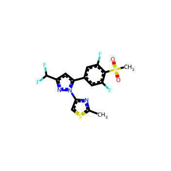 Cc1nc(-n2nc(C(F)F)cc2-c2cc(F)c(S(C)(=O)=O)c(F)c2)cs1